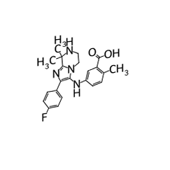 Cc1ccc(Nc2c(-c3ccc(F)cc3)nc3n2CCNC3(C)C)cc1C(=O)O